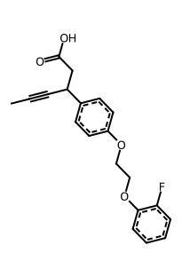 CC#CC(CC(=O)O)c1ccc(OCCOc2ccccc2F)cc1